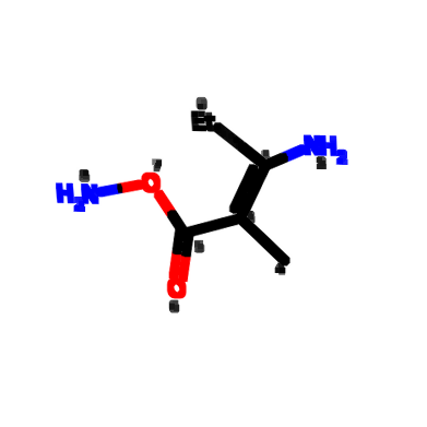 CCC(N)=C(C)C(=O)ON